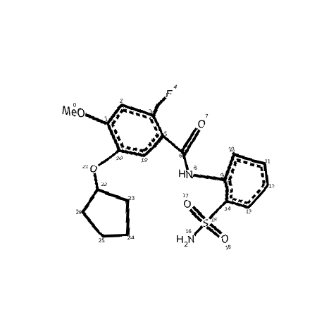 COc1cc(F)c(C(=O)Nc2ccccc2S(N)(=O)=O)cc1OC1CCCC1